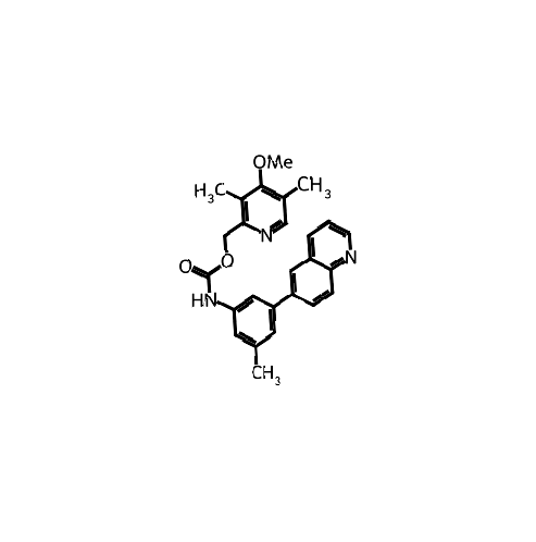 COc1c(C)cnc(COC(=O)Nc2cc(C)cc(-c3ccc4ncccc4c3)c2)c1C